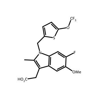 COc1cc2c(CC(=O)O)c(C)n(Cc3ccc(OC(F)(F)F)s3)c2cc1F